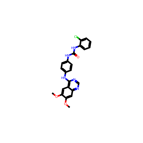 COc1cc2ncnc(Nc3ccc(NC(=O)Nc4ccccc4Cl)cc3)c2cc1OC